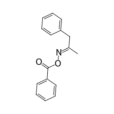 CC(Cc1ccccc1)=NOC(=O)c1ccccc1